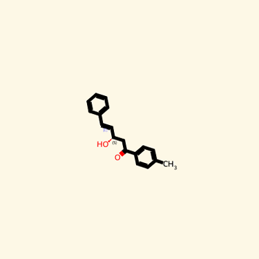 Cc1ccc(C(=O)C[C@H](O)/C=C/c2ccccc2)cc1